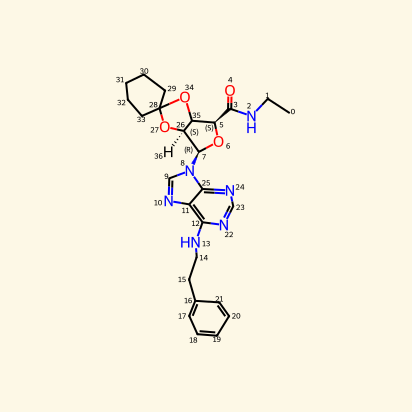 CCNC(=O)[C@H]1O[C@@H](n2cnc3c(NCCc4ccccc4)ncnc32)[C@H]2OC3(CCCCC3)OC12